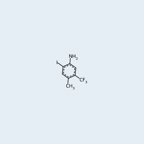 Cc1cc(I)c(N)cc1C(F)(F)F